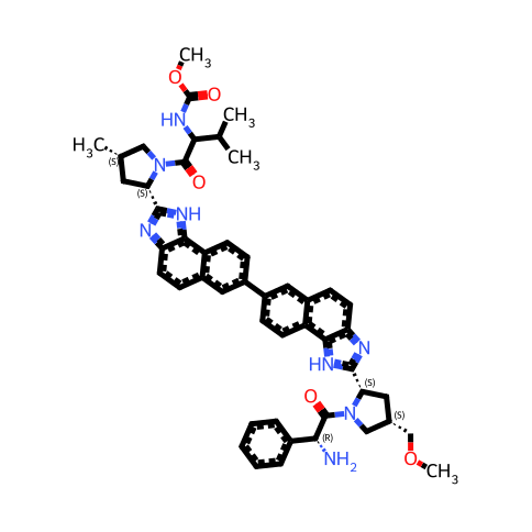 COC[C@H]1C[C@@H](c2nc3ccc4cc(-c5ccc6c(ccc7nc([C@@H]8C[C@H](C)CN8C(=O)C(NC(=O)OC)C(C)C)[nH]c76)c5)ccc4c3[nH]2)N(C(=O)[C@H](N)c2ccccc2)C1